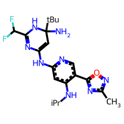 Cc1noc(-c2cnc(NC3=CC(N)(C(C)(C)C)NC(C(F)F)=N3)cc2NC(C)C)n1